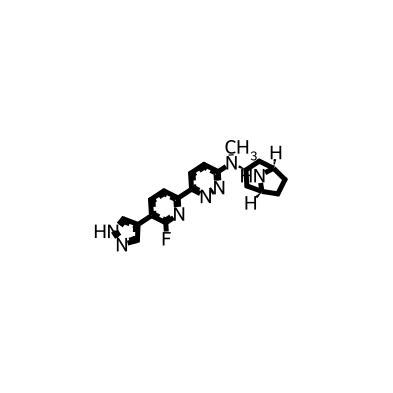 CN(c1ccc(-c2ccc(-c3cn[nH]c3)c(F)n2)nn1)[C@@H]1C[C@H]2CC[C@@H](C1)N2